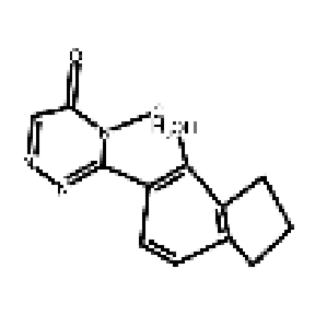 Cn1c(-c2ccc3c(c2O)CCC3)nncc1=O